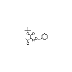 CC(=O)C(=NOCc1ccccc1)C(=O)OC(C)(C)C